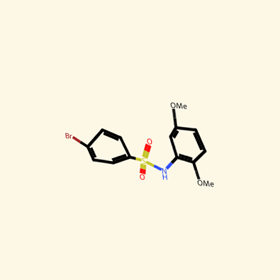 COc1ccc(OC)c(NS(=O)(=O)c2ccc(Br)cc2)c1